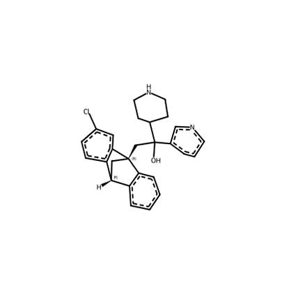 OC(C[C@]12C[C@H](c3ccccc31)c1ccc(Cl)cc12)(c1cccnc1)C1CCNCC1